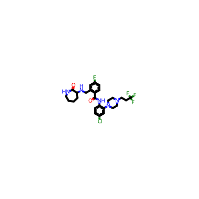 O=C(Nc1ccc(Cl)cc1N1CCN(CCC(F)(F)F)CC1)c1ccc(F)cc1CNC1CCCCNC1=O